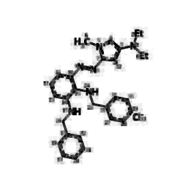 CCN(CC)c1c[n+](C)c(N=Nc2cccc(NCc3ccccc3)c2NCc2ccccc2)s1.[Cl-]